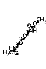 CCOCC(=O)NCCOCCOCCNC(C)=O